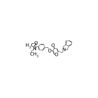 CCN=S(C)(=O)c1ccc(COc2coc(CN3Cc4ccccc4C3)cc2=O)cc1